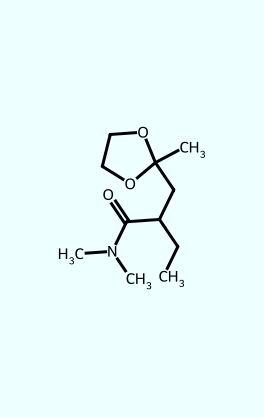 CCC(CC1(C)OCCO1)C(=O)N(C)C